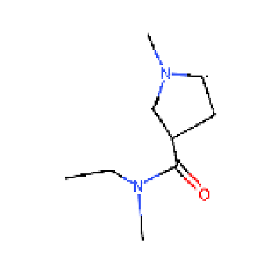 CCN(C)C(=O)C1C[CH]N(C)C1